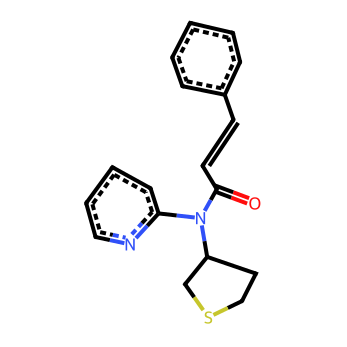 O=C(C=Cc1ccccc1)N(c1ccccn1)C1CCSC1